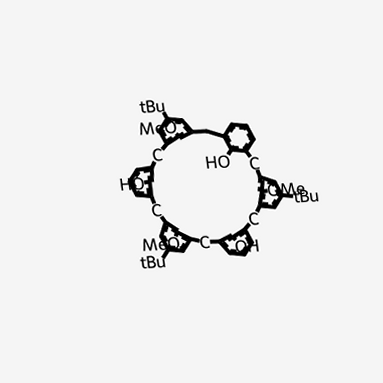 COc1c2cc(C(C)(C)C)cc1Cc1cccc(c1O)Cc1cc(C(C)(C)C)cc(c1OC)Cc1cccc(c1O)Cc1cc(C(C)(C)C)cc(c1OC)Cc1cccc(c1O)C2